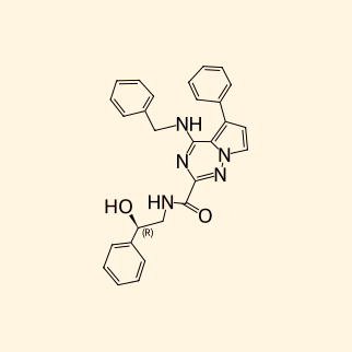 O=C(NC[C@H](O)c1ccccc1)c1nc(NCc2ccccc2)c2c(-c3ccccc3)ccn2n1